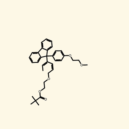 C/C=C(\C=C/COCCOC(=O)C(C)(C)C)C1(c2ccc(OCCOC)cc2)c2ccccc2-c2ccccc21